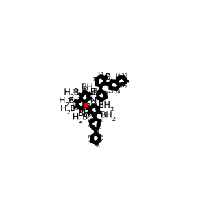 Bc1c(B)c(N(c2cccc(-c3cccc4oc5c6ccccc6ccc5c34)c2)c2c(B)c(B)c(B)c3c(B)c(B)c(B)c(B)c23)c(B)c(B)c1-c1ccc(-c2ccccc2)cc1